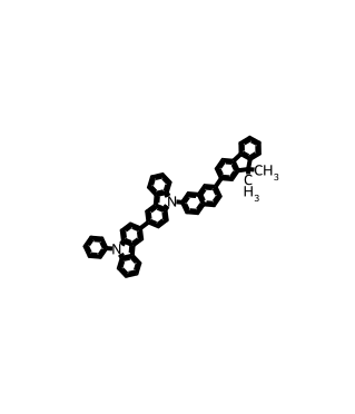 CC1(C)c2ccccc2-c2ccc(-c3ccc4ccc(-n5c6ccccc6c6cc(-c7ccc8c(c7)c7ccccc7n8-c7ccccc7)ccc65)cc4c3)cc21